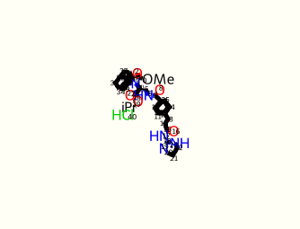 COC(=O)N([C@@H](CNC(=O)c1ccc(CCC(=O)NC2=NCCCN2)cc1)C(=O)OC(C)C)C12CC3CC(CC(C3)C1)C2.Cl